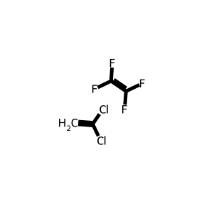 C=C(Cl)Cl.FC(F)=C(F)F